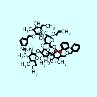 C=CCO[C@H]1OC(CO[C@@H]2OC(COCc3ccccc3)[C@@H](C)[C@H](C)C2O)[C@@H](O[C@@H]2OC(COCc3ccccc3)[C@@H](C)[C@H](C)C2O[C@@H]2OC(CC)[C@@H](C)[C@H](C)C2N=[N+]=[N-])[C@H](O[C@@H]2OC(CC)[C@@H](C)[C@H](C)C2OCc2ccccc2)C1C